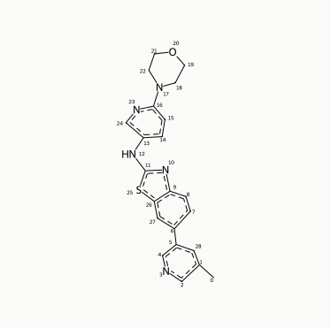 Cc1cncc(-c2ccc3nc(Nc4ccc(N5CCOCC5)nc4)sc3c2)c1